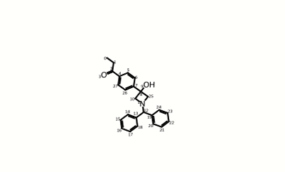 CCC(=O)c1ccc(C2(O)CN(C(c3ccccc3)c3ccccc3)C2)cc1